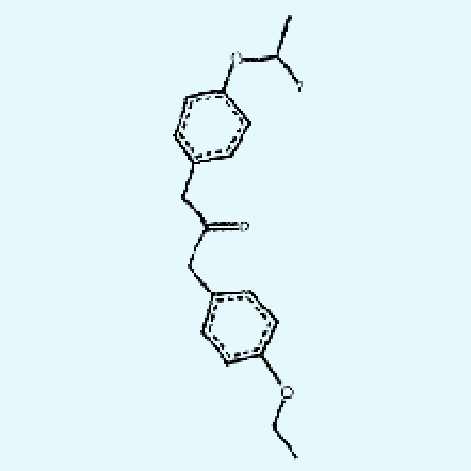 CCOc1ccc(CC(=O)Cc2ccc(OC(C)I)cc2)cc1